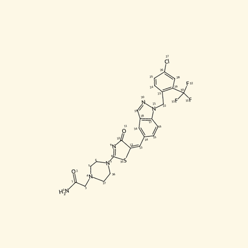 NC(=O)CN1CCN(C2=NC(=O)C(=Cc3ccc4c(cnn4Cc4ccc(Cl)cc4C(F)(F)F)c3)S2)CC1